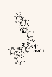 Cc1c(C)c(S(=O)(=O)NC(=N)NCCC[C@@H](CC(=O)O)NC(=O)c2ccc(C(c3ccccc3)c3ccccc3)[nH]c2=O)c(C)c2c1OC(C)(C)CC2